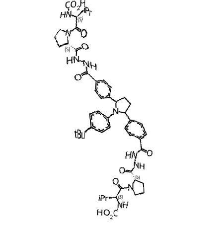 CC(C)[C@H](NC(=O)O)C(=O)N1CCC[C@H]1C(=O)NNC(=O)c1ccc(C2CCC(c3ccc(C(=O)NNC(=O)[C@@H]4CCCN4C(=O)[C@@H](NC(=O)O)C(C)C)cc3)N2c2ccc(C(C)(C)C)cc2)cc1